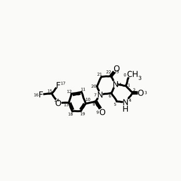 CC1C(=O)NCC2N(C(=O)c3ccc(OC(F)F)cc3)CCC(=O)N12